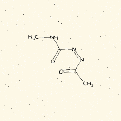 CNC(=O)/N=N\C(C)=O